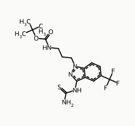 CC(C)(C)OC(=O)NCCCn1nc(NC(N)=S)c2cc(C(F)(F)F)ccc21